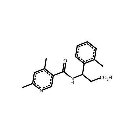 Cc1cc(C)c(C(=O)NC(CC(=O)O)c2ccccc2C)cn1